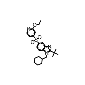 CCOc1cc(S(=O)(=O)c2ccc3c(c2)nc(C(C)(C)C)n3CC2CCCCC2)ccn1